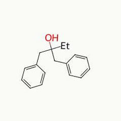 CCC(O)(Cc1ccccc1)Cc1ccccc1